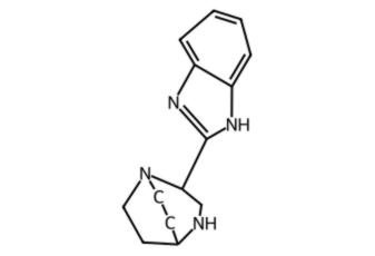 c1ccc2[nH]c(C3CNC4CCN3CC4)nc2c1